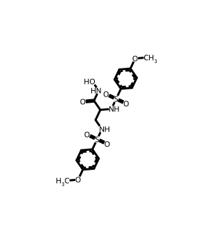 COc1ccc(S(=O)(=O)NCC(NS(=O)(=O)c2ccc(OC)cc2)C(=O)NO)cc1